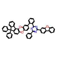 c1ccc(-c2nc(-c3ccc4c(c3)oc3ccccc34)nc(-c3ccccc3-c3ccc4c(c3)Oc3c(ccc5c3-c3ccccc3C5(c3ccccc3)c3ccccc3)O4)n2)cc1